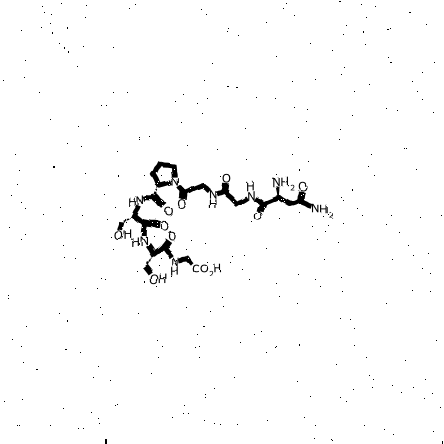 NC(=O)C[C@H](N)C(=O)NCC(=O)NCC(=O)N1CCC[C@H]1C(=O)N[C@@H](CO)C(=O)N[C@@H](CO)C(=O)NCC(=O)O